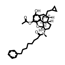 CC(=O)Oc1cc(O)c2c3c1O[C@H]1[C@H](N(C)C(=O)CCCCCCCc4ccccc4)CC[C@H]4[C@@H](C2)N(CC2CC2)CC[C@@]341